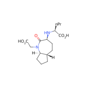 CCC[C@H](N[C@H]1CC[C@@H]2CCC[C@H]2N(CC(=O)O)C1=O)C(=O)O